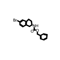 O=C(N[C@H]1CCc2cc(Br)ccc2C1)OCc1ccccc1